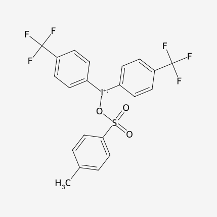 Cc1ccc(S(=O)(=O)O[I+](c2ccc(C(F)(F)F)cc2)c2ccc(C(F)(F)F)cc2)cc1